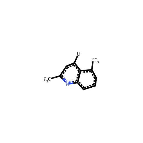 [Li][c]1cc(C(F)(F)F)nc2cccc(C(F)(F)F)c12